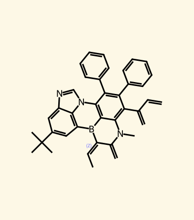 C=CC(=C)c1c(-c2ccccc2)c(-c2ccccc2)c2c3c1N(C)C(=C)/C(=C\C)B3c1cc(C(C)(C)C)cc3ncn-2c13